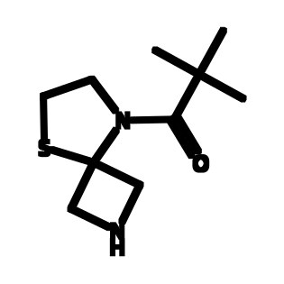 CC(C)(C)C(=O)N1CCSC12CNC2